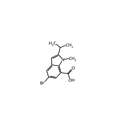 CC(C)c1cc2cc(Br)cc(C(=O)O)c2n1C